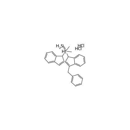 Cl.Cl.[CH3][Hf]([CH3])(=[SiH2])([CH]1C=Cc2ccccc21)[CH]1C=C(Cc2ccccc2)c2ccccc21